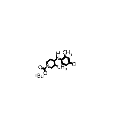 Cc1cc(Cl)ccc1NC1CCN(C(=O)OC(C)(C)C)CC1C